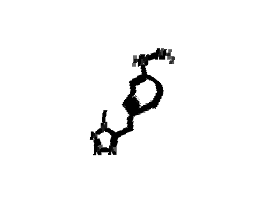 Cn1nnnc1Cc1ccc(NN)cc1